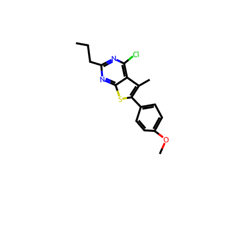 CCCc1nc(Cl)c2c(C)c(-c3ccc(OC)cc3)sc2n1